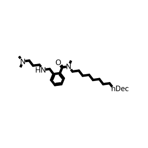 CCCCCCCCCCCCCCCCCCN(C)C(=O)c1ccccc1CNCCCN(C)C